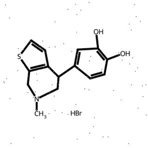 Br.CN1Cc2sccc2C(c2ccc(O)c(O)c2)C1